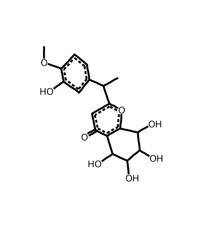 COc1ccc(C(C)c2cc(=O)c3c(o2)C(O)C(O)C(O)C3O)cc1O